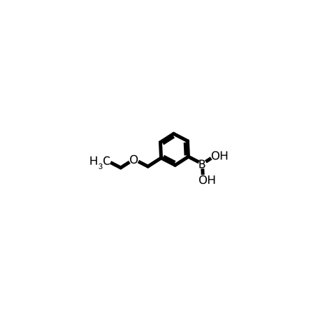 CCOCc1cccc(B(O)O)c1